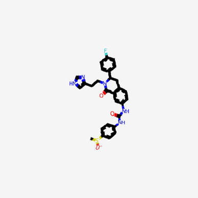 C[S+]([O-])c1ccc(NC(=O)Nc2ccc3c(c2)C(=O)N(CCc2c[nH]cn2)C(c2ccc(F)cc2)C3)cc1